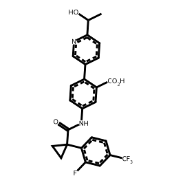 CC(O)c1ccc(-c2ccc(NC(=O)C3(c4ccc(C(F)(F)F)cc4F)CC3)cc2C(=O)O)cn1